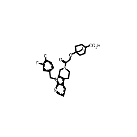 O=C(COC12CCC(C(=O)O)(CC1)CC2)N1CCc2c(n(Cc3ccc(Cl)c(F)c3)c3ncccc23)C1